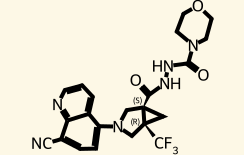 N#Cc1ccc(N2C[C@]3(C(=O)NNC(=O)N4CCOCC4)C[C@]3(C(F)(F)F)C2)c2cccnc12